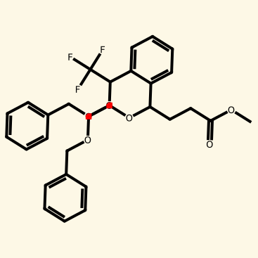 COC(=O)CCC(OCOCc1ccccc1)c1ccccc1C(OCOCc1ccccc1)C(F)(F)F